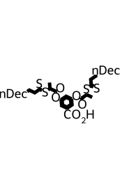 CCCCCCCCCCCCC(=S)SC(C)C(=O)Oc1cc(OC(=O)C(C)SC(=S)CCCCCCCCCCCC)cc(C(=O)O)c1